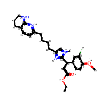 CCOC(=O)CC(c1ccc(OC)c(F)c1)c1nc(CCCCc2ccc3c(n2)NCCC3)cn1C